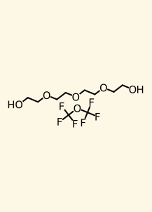 FC(F)(F)OC(F)(F)F.OCCOCCOCCOCCO